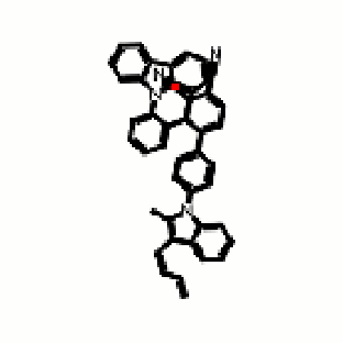 C=C/C=C\c1c(C)n(-c2ccc(C3=CC=C(C#N)C(C#N)C3c3ccccc3-n3c4ccccc4c4ccccc43)cc2)c2ccccc12